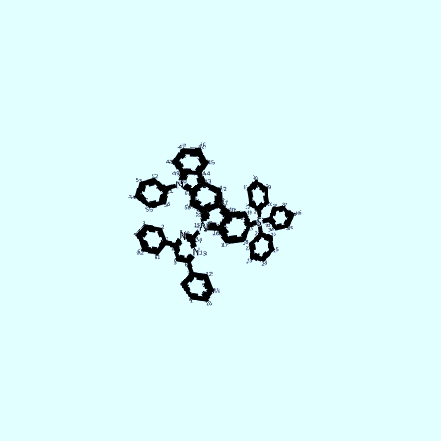 c1ccc(-c2cc(-c3ccccc3)nc(-n3c4ccc([Si](c5ccccc5)(c5ccccc5)c5ccccc5)cc4c4cc5c6ccccc6n(-c6ccccc6)c5cc43)n2)cc1